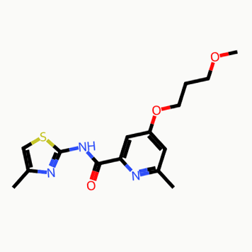 COCCCOc1cc(C)nc(C(=O)Nc2nc(C)cs2)c1